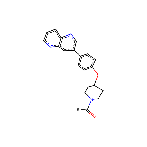 CC(C)C(=O)N1CCC(Oc2ccc(-c3cnc4cccnc4c3)cc2)CC1